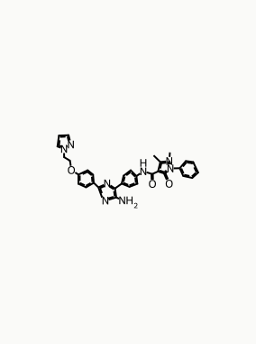 Cc1c(C(=O)Nc2ccc(-c3nc(-c4ccc(OCCn5cccn5)cc4)cnc3N)cc2)c(=O)n(-c2ccccc2)n1C